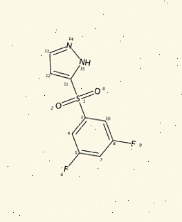 O=S(=O)(c1cc(F)cc(F)c1)c1ccn[nH]1